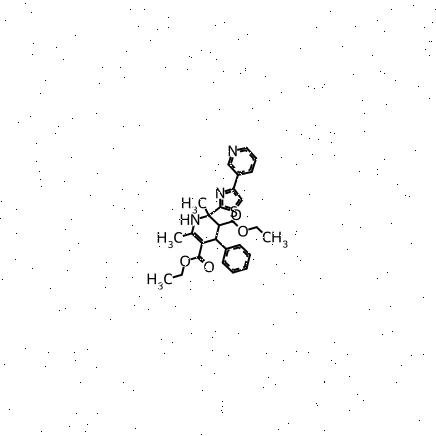 CCOC(=O)C1=C(C)NC(C)(c2nc(-c3cccnc3)cs2)C(C(=O)OCC)C1c1ccccc1